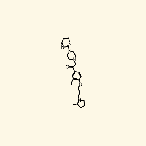 CC1CCCN1CCCOc1ccc(C(=O)CN2CCN(c3ncccn3)CC2)cc1F